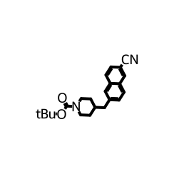 CC(C)(C)OC(=O)N1CCC(Cc2ccc3cc(C#N)ccc3c2)CC1